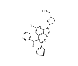 O=C(c1ccccc1)N(C(=O)c1ccccc1)c1nc(Cl)nc2c1ncn2[C@H]1CC[C@@H](CO)O1